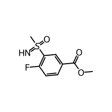 COC(=O)c1ccc(F)c(S(C)(=N)=O)c1